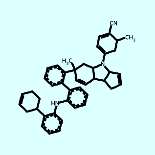 CC1CC(N2C3C=CCC3C3C=CC(C)(c4ccccc4-c4ccccc4Nc4ccccc4C4CC=CCC4)CC32)=CC=C1C#N